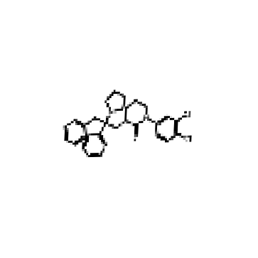 O=C1C(CC(Cc2ccccc2)(c2ccccc2)N2CCCC2)CCCN1c1ccc(Cl)c(Cl)c1